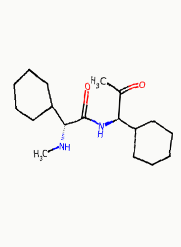 CN[C@@H](C(=O)N[C@@H](C(C)=O)C1CCCCC1)C1CCCCC1